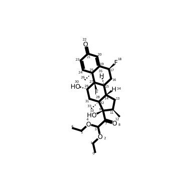 CCOC(OCC)C(=O)[C@@]1(O)[C@H](C)C[C@H]2[C@@H]3C[C@H](F)C4=CC(=O)C=C[C@]4(C)[C@@]3(F)[C@@H](O)C[C@@]21C